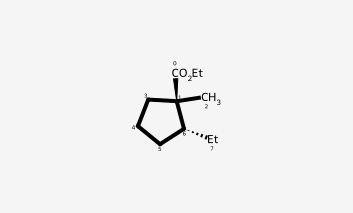 CCOC(=O)[C@]1(C)CCC[C@H]1CC